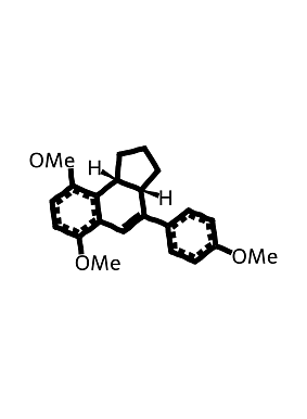 COc1ccc(C2=Cc3c(OC)ccc(OC)c3[C@@H]3CCC[C@H]23)cc1